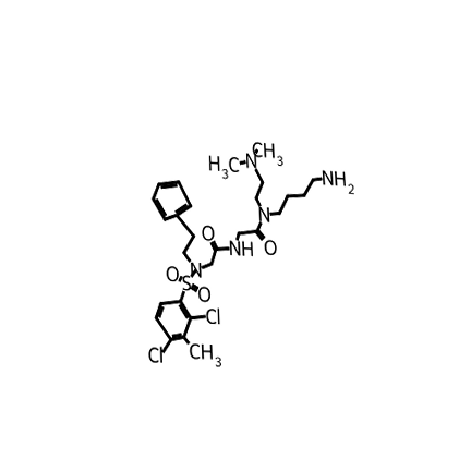 Cc1c(Cl)ccc(S(=O)(=O)N(CCc2ccccc2)CC(=O)NCC(=O)N(CCCCN)CCN(C)C)c1Cl